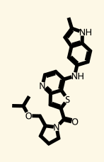 Cc1cc2cc(Nc3ccnc4cc(C(=O)N5CCCC5COC(C)C)sc34)ccc2[nH]1